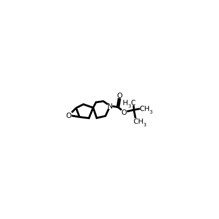 CC(C)(C)OC(=O)N1CCC2(CC1)CC1OC1C2